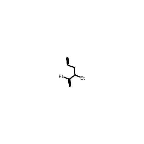 C=CC[C](CC)C(=C)CC